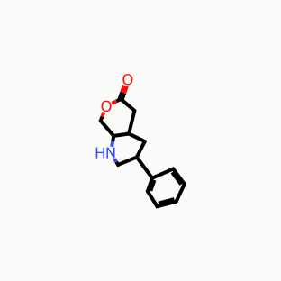 O=C1CC2CC(c3ccccc3)CNC2CO1